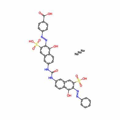 O=C(Nc1ccc2c(O)c(N=Nc3ccccc3)c(S(=O)(=O)O)cc2c1)Nc1ccc2c(O)c(N=Nc3ccc(C(=O)O)cc3)c(S(=O)(=O)O)cc2c1.[Na].[Na].[Na]